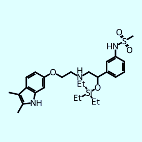 CC[Si](CC)(CC)OC(CNCCOc1ccc2c(C)c(C)[nH]c2c1)c1cccc(NS(C)(=O)=O)c1